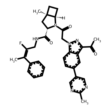 CC(=O)c1nn(CC(=O)N2[C@H](C(=O)NC/C(F)=C(/C)c3ccccc3)C[C@@]3(C)CC[C@@H]23)c2ccc(-c3cnc(C)nc3)cc12